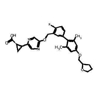 Cc1cc(OCC2CCCO2)cc(C)c1-c1ccc(F)c(COc2cnc(C3C[C@H]3C(=O)O)cn2)c1